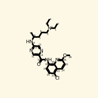 CCN(CC)CCCC(C)Nc1cnc(C(=O)Nc2ccc(Cl)c3ccc(OC)nc23)cn1